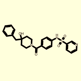 O=C(c1ccc(NS(=O)(=O)c2cccnc2)cc1)N1CCC(O)(Cc2ccccc2)CC1